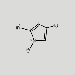 CCc1cc(C(C)C)n(C(C)C)c1